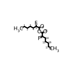 CCCCCC(F)C(=O)OC(=O)C(F)CCCCC